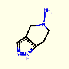 NN1CCc2[nH]ncc2C1